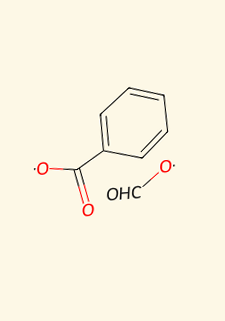 [O]C(=O)c1ccccc1.[O]C=O